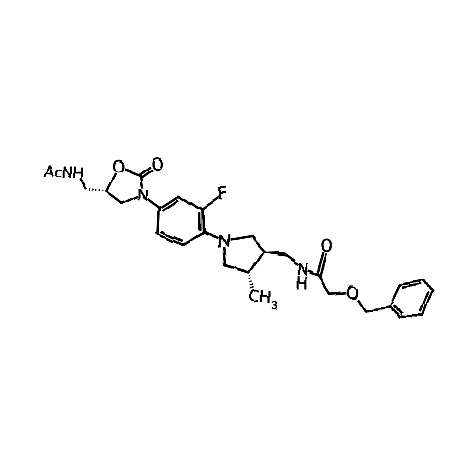 CC(=O)NC[C@H]1CN(c2ccc(N3C[C@@H](CNC(=O)COCc4ccccc4)[C@H](C)C3)c(F)c2)C(=O)O1